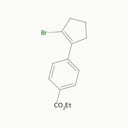 CCOC(=O)c1ccc(C2=C(Br)CCC2)cc1